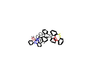 CC(C)(C)c1cc([Si](c2ccccc2)(c2ccccc2)c2cccc3c2Oc2ccccc2S3)ccc1-c1cccc2c1nc1oc3ccccc3n12